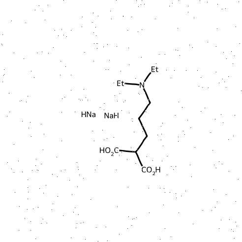 CCN(CC)CCCC(C(=O)O)C(=O)O.[NaH].[NaH]